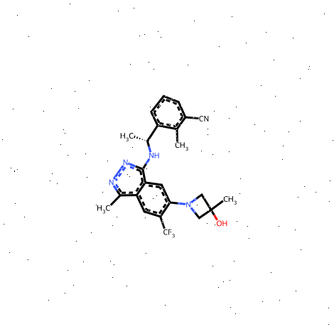 Cc1c(C#N)cccc1[C@@H](C)Nc1nnc(C)c2cc(C(F)(F)F)c(N3CC(C)(O)C3)cc12